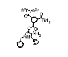 CCCN(CCC)C(=O)c1cc(C(N)=O)cc(C(=O)O[C@H](CNCc2ccccc2)[C@H](N)Cc2cccs2)c1